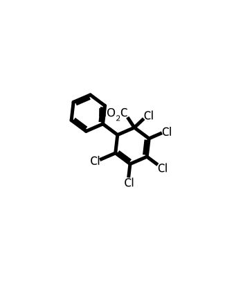 O=C(O)C1(Cl)C(Cl)=C(Cl)C(Cl)=C(Cl)C1c1ccccc1